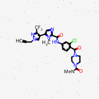 C#CCn1cc(-c2cnc(C(=O)Nc3ccc(C(=O)N4CCN(C(=O)NC)CC4)c(Cl)c3)n2C)c(C(F)(F)F)n1